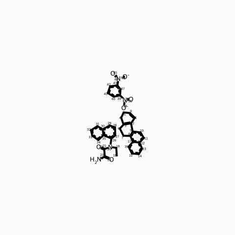 C1=CC2=C(CC1)CCc1c2ccc2ccccc12.CCN(C(=O)C(N)=O)c1cccc2ccccc12.O=[N+]([O-])c1cccc([N+](=O)[O-])c1